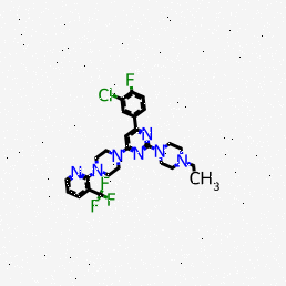 CCN1CCN(c2nc(-c3ccc(F)c(Cl)c3)cc(N3CCN(c4ncccc4C(F)(F)F)CC3)n2)CC1